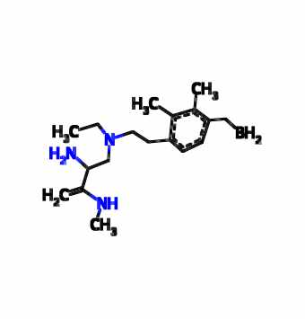 BCc1ccc(CCN(CC)CC(N)C(=C)NC)c(C)c1C